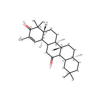 [C-]#[N+]C1=C[C@]2(C)C3CC(=O)C4C5CC(C)(C)CC[C@]5(C)CC[C@@]4(C)[C@]3(C)CC[C@H]2C(C)(C)C1=O